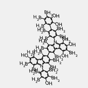 Bc1c(B)c(O)c(O)c(-c2c(B)c(B)c(-n3c4c(B)c(B)c(-c5c(B)c(B)c6c(c5B)c5c(B)c(O)c(B)c(B)c5n6-c5c(B)c(B)c(O)c(B)c5B)c(B)c4c4c(O)c(B)c(O)c(B)c43)c(B)c2B)c1B